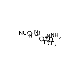 C[C@@]1(c2cc(-c3cc(-c4ccc(C#N)cn4)no3)ccc2F)C[C@@H](C(F)(F)F)OC(N)=N1